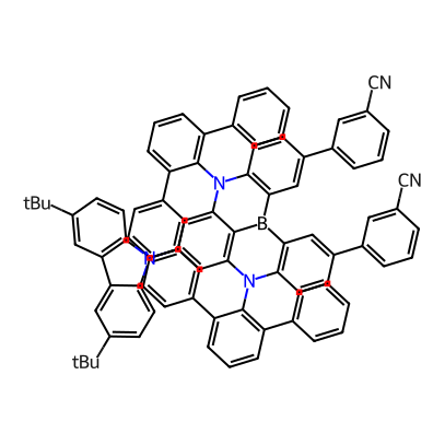 CC(C)(C)c1ccc2c(c1)c1cc(C(C)(C)C)ccc1n2-c1cc2c3c(c1)N(c1c(-c4ccccc4)cccc1-c1ccccc1)c1ccc(-c4cccc(C#N)c4)cc1B3c1cc(-c3cccc(C#N)c3)ccc1N2c1c(-c2ccccc2)cccc1-c1ccccc1